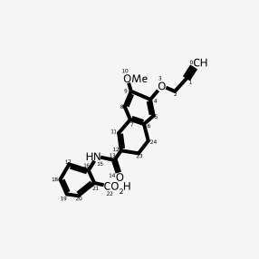 C#CCOc1cc2c(cc1OC)C=C(C(=O)Nc1ccccc1C(=O)O)CC2